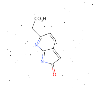 O=C(O)Cc1ccc2c(n1)=NC(=O)C=2